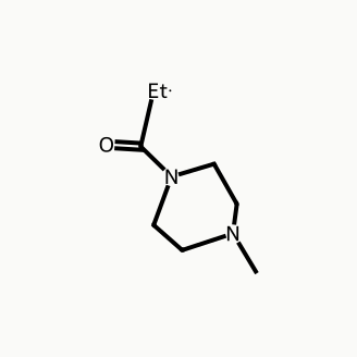 C[CH]C(=O)N1CCN(C)CC1